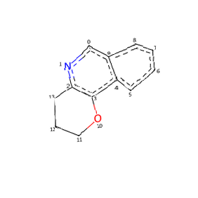 [c]1nc2c(c3ccccc13)OCCC2